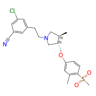 Cc1cc(OC[C@@H]2CN(CCc3cc(Cl)cc(C#N)c3)C[C@H]2C)ccc1S(C)(=O)=O